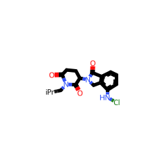 CC(C)CN1C(=O)CCC(N2Cc3c(NCl)cccc3C2=O)C1=O